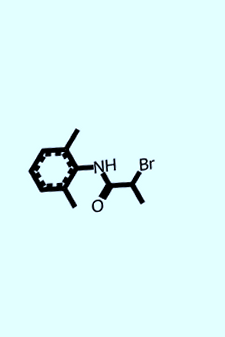 Cc1cccc(C)c1NC(=O)C(C)Br